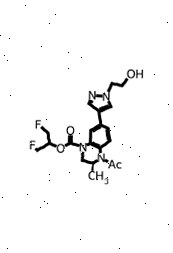 CC(=O)N1c2ccc(-c3cnn(CCO)c3)cc2N(C(=O)OC(CF)CF)C[C@@H]1C